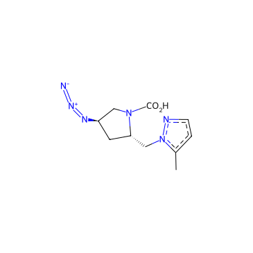 Cc1ccnn1C[C@@H]1C[C@@H](N=[N+]=[N-])CN1C(=O)O